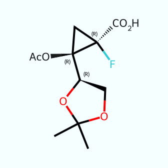 CC(=O)O[C@@]1([C@H]2COC(C)(C)O2)C[C@]1(F)C(=O)O